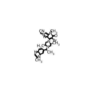 Cc1cnc2ccc([C@H](C)N3C[C@H](C)N(c4c(Br)c(=O)n(C)c5cn(CC#N)nc45)C[C@H]3C)cc2n1